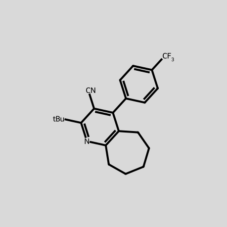 CC(C)(C)c1nc2c(c(-c3ccc(C(F)(F)F)cc3)c1C#N)CCCCC2